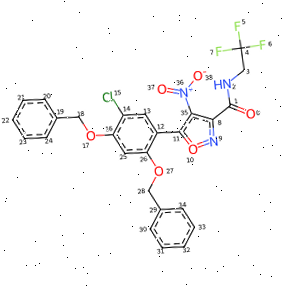 O=C(NCC(F)(F)F)c1noc(-c2cc(Cl)c(OCc3ccccc3)cc2OCc2ccccc2)c1[N+](=O)[O-]